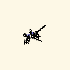 CCCCCCCCCCN1/C(=C\C2=C(O)C(=C\c3oc4cc(C)c(C)cc4[n+]3CCCCCCCCCC)/C2=O)N(c2ccccc2)c2cc(C(F)(F)F)c(Cl)cc21